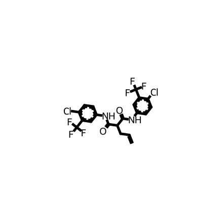 C=CCC(C(=O)Nc1ccc(Cl)c(C(F)(F)F)c1)C(=O)Nc1ccc(Cl)c(C(F)(F)F)c1